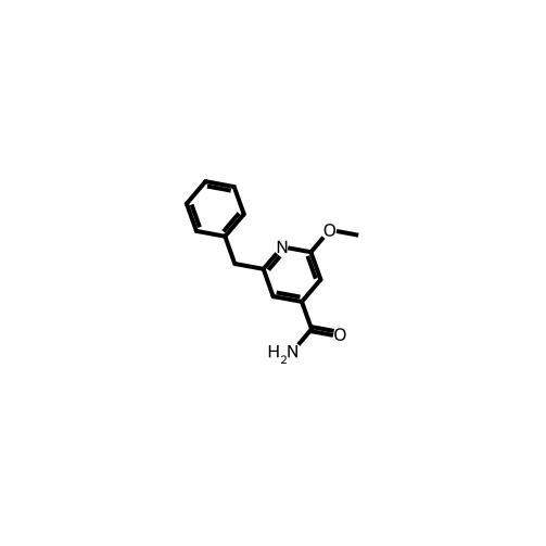 COc1cc(C(N)=O)cc(Cc2ccccc2)n1